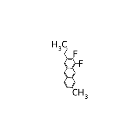 CCCc1cc2cc3ccc(C)cc3cc2c(F)c1F